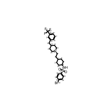 O=S(=O)(NC1CCC(CCN2CCC(Cc3cccc(C(F)(F)F)c3)CC2)CC1)c1ccc(Br)cc1